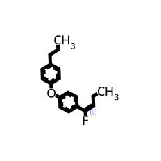 CC/C=C(/F)c1ccc(Oc2ccc(CCC)cc2)cc1